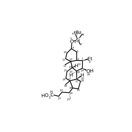 CC[C@@H]1C2CC(O[Si](C)(C)C(C)(C)C)CCC2(C)[C@H]2CCC3(C)C([C@H](C)CCC(=O)O)CC[C@H]3[C@@H]2[C@@H]1O